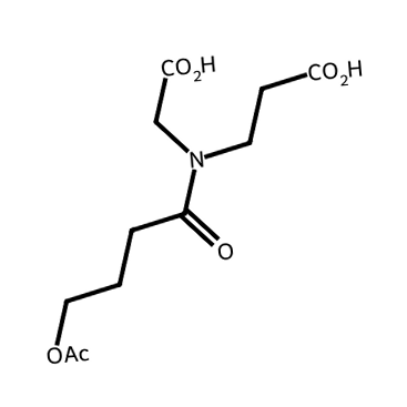 CC(=O)OCCCC(=O)N(CCC(=O)O)CC(=O)O